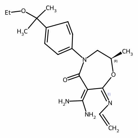 C=C/N=C1/O[C@H](C)CN(c2ccc(C(C)(C)OCC)cc2)C(=O)C1=C(N)N